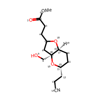 COC(=O)CCC1C[C@]2(CO)O[C@@H](CCC#N)CC[C@@H]2O1